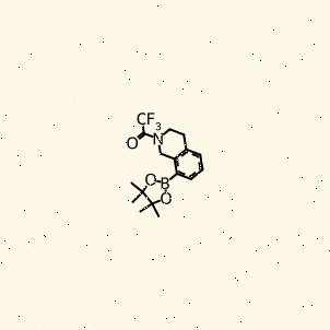 CC1(C)OB(c2cccc3c2CN(C(=O)C(F)(F)F)CC3)OC1(C)C